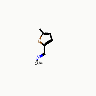 CC(=O)ON=Cc1ccc(C)s1